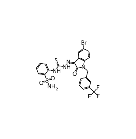 NS(=O)(=O)c1ccccc1NC(=S)NN=C1C(=O)N(Cc2cccc(C(F)(F)F)c2)c2ccc(Br)cc21